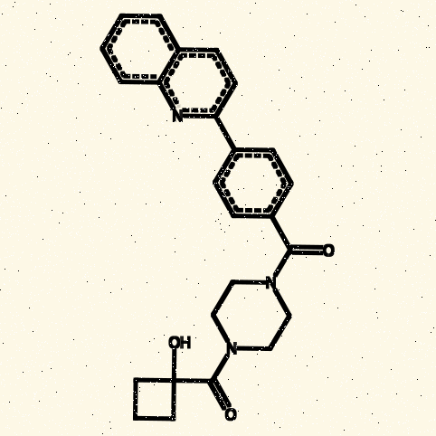 O=C(c1ccc(-c2ccc3ccccc3n2)cc1)N1CCN(C(=O)C2(O)CCC2)CC1